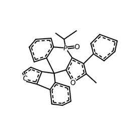 Cc1oc2c(c1-c1ccccc1)P(=O)(C(C)C)c1ccccc1C21c2ccccc2-c2ccccc21